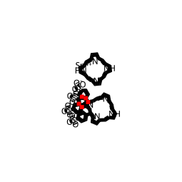 C1=Cc2cc3ccc(cc4nc(cc5ccc(cc1n2)[nH]5)C=C4)[nH]3.O=S(=O)([O-])c1ccc(-c2c(-c3ccc(S(=O)(=O)[O-])cc3)c3c(-c4ccc(S(=O)(=O)[O-])cc4)c4nc(cc5ccc(cc6nc(cc2n3-c2ccc(S(=O)(=O)[O-])cc2)C=C6)[nH]5)C=C4)cc1.[Sn+4]